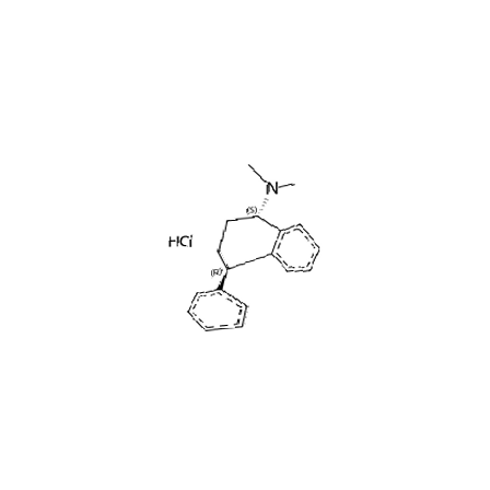 CN(C)[C@H]1CC[C@H](c2ccccc2)c2ccccc21.Cl